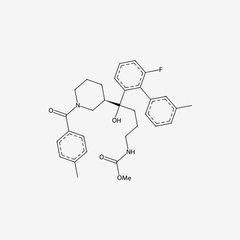 COC(=O)NCCCC(O)(c1cccc(F)c1-c1cccc(C)c1)[C@@H]1CCCN(C(=O)c2ccc(C)cc2)C1